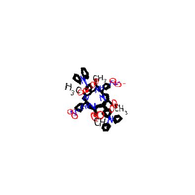 COC(=O)C1=Cc2nc1c(-c1ccc(N(c3ccccc3)c3ccccc3)cc1)c1[nH]c(cc1C(=O)OC)c(-c1ccc([N+](=O)[O-])cc1)c1nc(c(-c3ccc(N(c4ccccc4)c4ccccc4)cc3)c3[nH]c(cc3C(=O)OC)c2-c2ccc([N+](=O)[O-])cc2)C(C(=O)OC)=C1